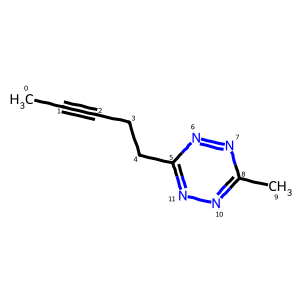 CC#CCCc1nnc(C)nn1